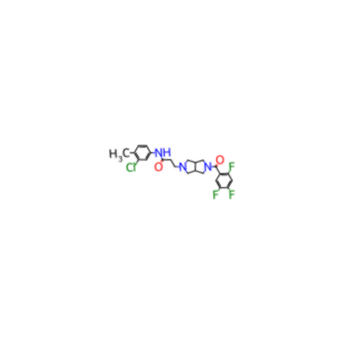 Cc1ccc(NC(=O)CCN2CC3CN(C(=O)c4cc(F)c(F)cc4F)CC3C2)cc1Cl